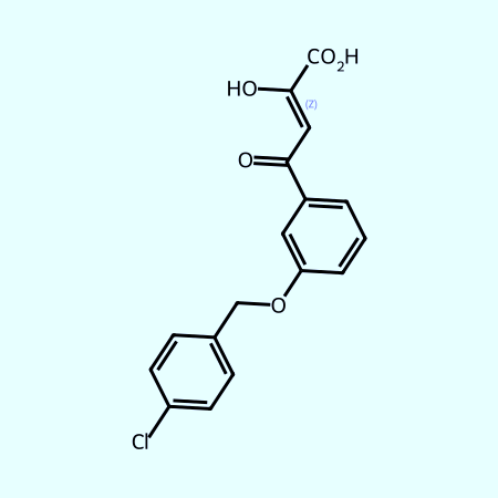 O=C(O)/C(O)=C/C(=O)c1cccc(OCc2ccc(Cl)cc2)c1